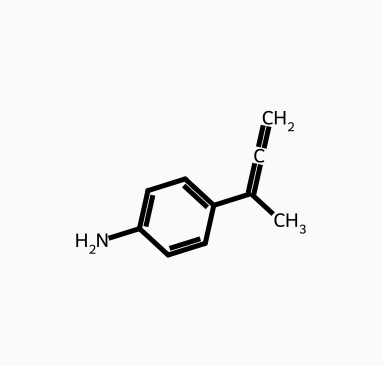 C=C=C(C)c1ccc(N)cc1